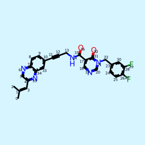 CC(C)=Cc1cnc2ccc(C#CCNC(=O)c3cncn(Cc4ccc(F)c(F)c4)c3=O)cc2n1